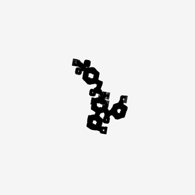 CCS(=O)(=O)c1ccc(CC(=O)Nc2ncc(-c3cccc(Cl)c3)c(C(=O)c3cccc(Cl)c3)n2)cc1